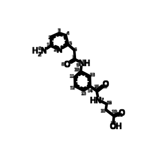 Nc1cccc(CC(=O)Nc2cccc(C(=O)NCCC(=O)O)c2)n1